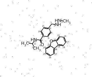 CNNCc1ccc(C(=O)NC(C)C)cc1.c1ccc2c(c1)oc1ccccc12